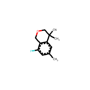 Cc1cc(F)c2c(c1)C(C)(C#N)COC2